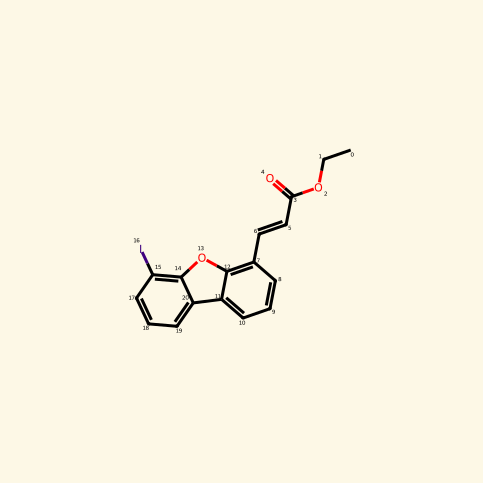 CCOC(=O)C=Cc1cccc2c1oc1c(I)cccc12